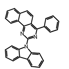 c1ccc(-c2nc(-n3c4ccccc4c4ccccc43)nc3c2ccc2ccccc23)cc1